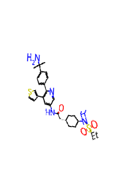 CCS(=O)(=O)N[C@H]1CC[C@H](CC(=O)Nc2cnc(-c3ccc(C(C)(C)N)cc3)c(-c3ccsc3)c2)CC1